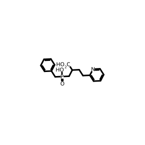 O=C(O)C(CCc1ccccn1)CP(=O)(O)Cc1ccccc1